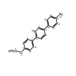 CCCCCCOc1ccc(-c2ccc(-c3ccc(C(C)=O)cc3)cn2)cc1